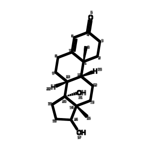 C[C@]12CCC(=O)C=C1CC[C@@H]1[C@H]2CC[C@]2(C)C(O)CC[C@@]12O